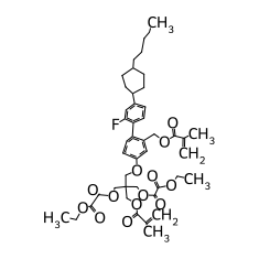 C=C(C)C(=O)OCc1cc(OCC(COC(=O)C(=C)C)(COC(=O)C(=O)OCC)COC(=O)C(=O)OCC)ccc1-c1ccc(C2CCC(CCCCC)CC2)cc1F